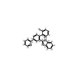 Ic1ccccc1-c1ccc(-c2ccccn2)cc1-c1nc2ccccc2[nH]1